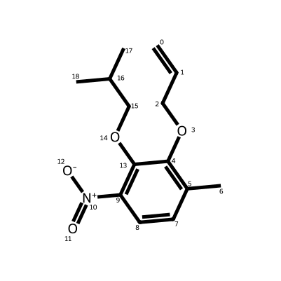 C=CCOc1c(C)ccc([N+](=O)[O-])c1OCC(C)C